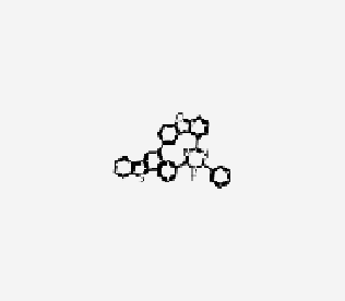 c1ccc(C2=NC(c3cccc4oc5ccc(-c6ccc7sc8ccccc8c7c6)cc5c34)=NC(c3ccccc3)N2)cc1